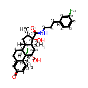 C[C@@H]1C[C@H]2[C@@H]3CCC4=CC(=O)C=C[C@]4(C)[C@@]3(F)[C@@H](O)C[C@]2(C)[C@@]1(O)C(=O)NCCCc1cccc(F)c1